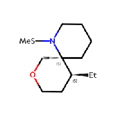 CC[C@H]1CCOC[C@]12CCCCN2SC